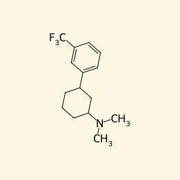 CN(C)C1CCCC(c2cccc(C(F)(F)F)c2)C1